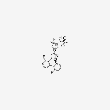 C[C@]1(F)CN(C2=NOC(c3c(F)cccc3-c3c(F)cccc3F)C2)C[C@H]1NS(C)(=O)=O